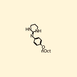 CCCCCCCCOc1ccc(N=C2NCCCN2)cc1